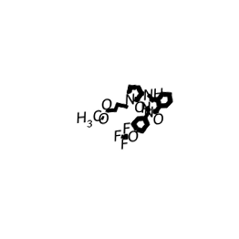 COC(=O)CCCn1cccc(Nc2nn(-c3ccc(OC(F)(F)F)cc3)c(=O)c3ccccc23)c1=O